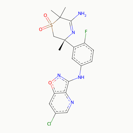 CC1(C)C(N)=N[C@](C)(c2cc(Nc3noc4cc(Cl)cnc34)ccc2F)CS1(=O)=O